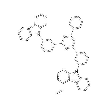 C=Cc1cccc2c1c1ccccc1n2-c1cccc(-c2cc(-c3ccccc3)nc(-c3cccc(-n4c5ccccc5c5ccccc54)c3)n2)c1